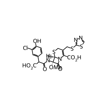 CO[C@@]1(NC(=O)C(C(=O)O)c2ccc(O)c(Cl)c2)C(=O)N2C(C(=O)O)=C(CSc3nncs3)CS[C@H]21